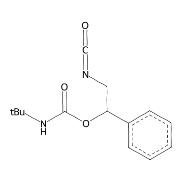 CC(C)(C)NC(=O)OC(CN=C=O)c1ccccc1